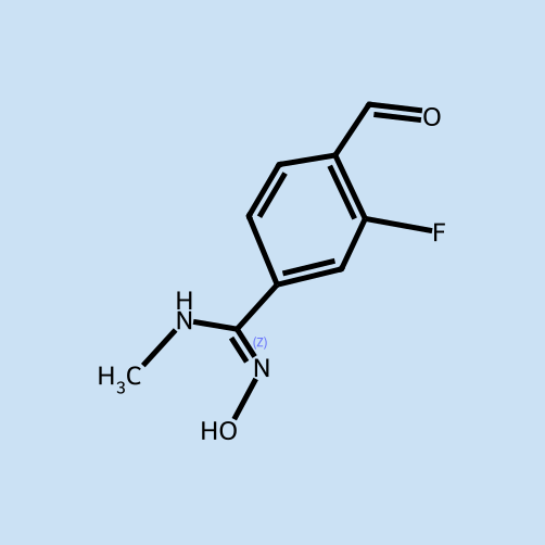 CN/C(=N\O)c1ccc(C=O)c(F)c1